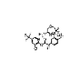 C[C@]1(c2cc(NC(=O)Oc3ncc(C(F)(F)F)cc3Cl)ccc2F)N=C(N)COCC1(F)F